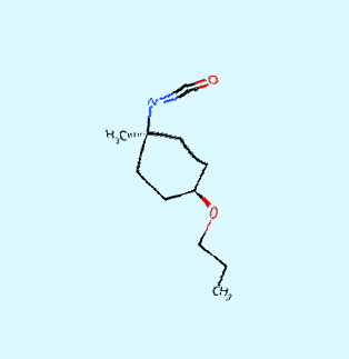 CCCO[C@H]1CC[C@@](C)(N=C=O)CC1